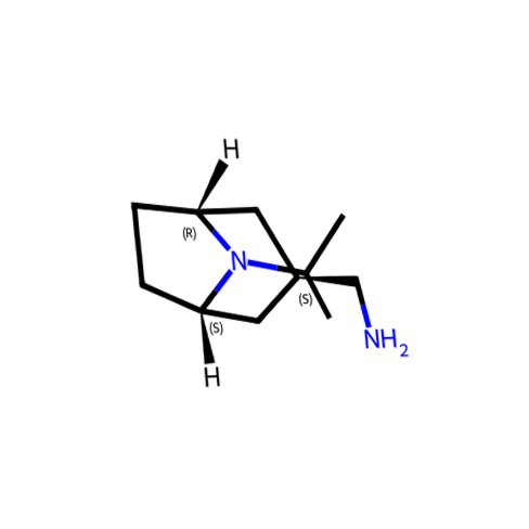 CC(C)N1[C@@H]2CC[C@H]1C[C@H](CN)C2